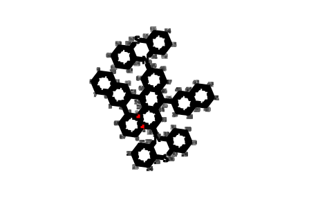 c1ccc(-c2cc3ccccc3cc2-c2c3ccc(N4c5ccccc5Sc5ccccc54)cc3c(-c3ccc4ccccc4c3)c3ccc(N4c5ccccc5Sc5ccccc54)cc23)cc1